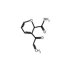 C=CC(=O)C1=CC=COC1C(N)=O